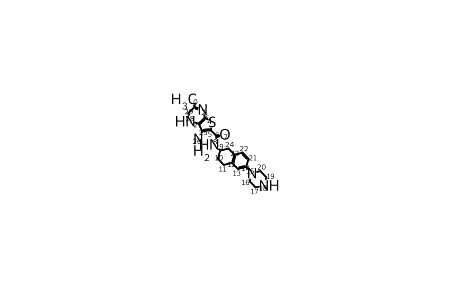 CC1=Nc2sc(C(=O)NC3CCc4cc(N5CCNCC5)ccc4C3)c(N)c2NC1